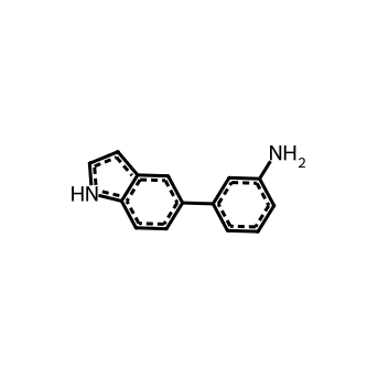 Nc1cccc(-c2ccc3[nH]ccc3c2)c1